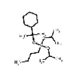 CC(C)O[Si](CCCN)(OC(C)C)OC(C)(C)C1CCCCC1